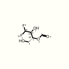 O=CO[C@H](CO)[C@H](O)C(F)F